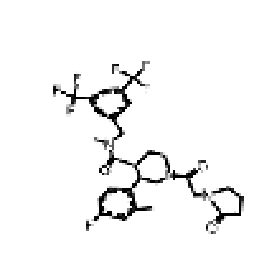 Cc1cc(F)ccc1C1CN(C(=O)CN2CCCC2=O)CCC1C(=O)N(C)Cc1cc(C(F)(F)F)cc(C(F)(F)F)c1